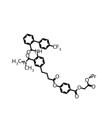 CC(C)OC(=O)COC(=O)c1ccc(OC(=O)CCCc2ccc(NC(=O)c3ccccc3-c3ccc(C(F)(F)F)cc3)c(C(=O)N(C)C)c2)cc1